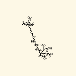 CC(=O)OCC(COC(C)=O)(COC(C)=O)C(=O)NCCCCCCCNCCNCCNCCNC(=O)CC(C(=O)O)N(CCN(CC(=O)O)CC(=O)O)CCN(CC(=O)O)CC(=O)O